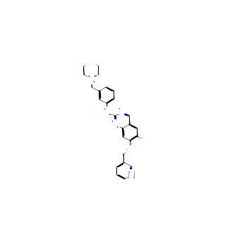 Brc1cc2cnc(Nc3cccc(CN4CCOCC4)c3)nc2cc1OCc1cccnc1